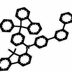 CC1(C)c2ccccc2-c2cccc(N(c3ccc(-c4cccc(-c5ccccc5)c4)cc3)c3cccc(C4(c5ccccc5)c5ccccc5-c5ccccc54)c3)c21